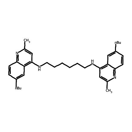 CCCCc1ccc2nc(C)cc(NCCCCCCNc3cc(C)nc4ccc(CCCC)cc34)c2c1